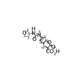 CN(C(=O)NC1CCOC1)c1cc2oc(=O)c(C(=O)O)cc2s1